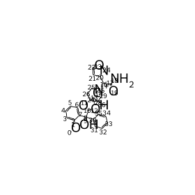 COc1ccccc1C(O)(C(=O)O[C@H]1C[N+]2(C(C(N)=O)c3ccon3)CCC1CC2)c1ccccc1